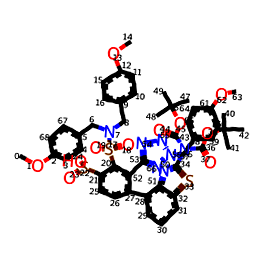 COc1ccc(CN(Cc2ccc(OC)cc2)S(=O)(=O)c2c(S(=O)O)ccc(-c3cccc4sc(N(C(=O)OC(C)(C)C)C(=O)OC(C)(C)C)nc34)c2-c2nnn(Cc3ccc(OC)cc3)n2)cc1